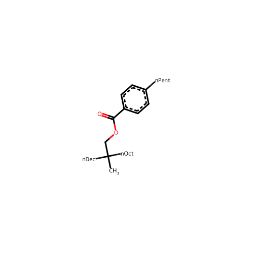 CCCCCCCCCCC(C)(CCCCCCCC)COC(=O)c1ccc(CCCCC)cc1